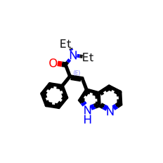 CCN(CC)C(=O)/C(=C/c1c[nH]c2ncccc12)c1ccccc1